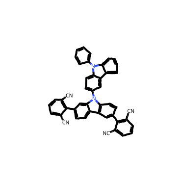 N#Cc1cccc(C#N)c1-c1ccc2c(c1)c1ccc(-c3c(C#N)cccc3C#N)cc1n2-c1ccc2c(c1)c1ccccc1n2-c1ccccc1